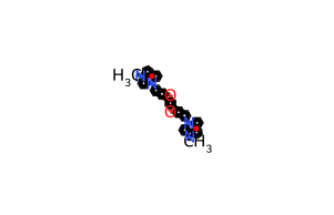 Cn1c2ccccc2c2c(N(c3ccccc3)c3ccc4cc5c(cc4c3)oc3cc4c(cc35)oc3cc5cc(N(c6ccccc6)c6cccc7c6c6ccccc6n7C)ccc5cc34)cccc21